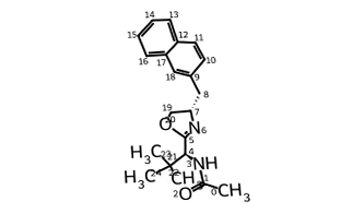 CC(=O)N[C@H](C1=N[C@@H](Cc2ccc3ccccc3c2)CO1)C(C)(C)C